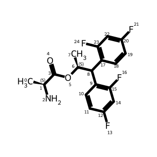 C[C@H](N)C(=O)O[C@@H](C)C(c1ccc(F)cc1F)c1ccc(F)cc1F